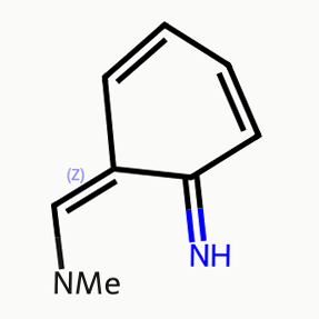 CN/C=C1/C=CC=CC1=N